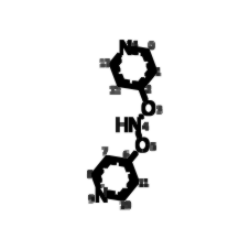 c1cc(ONOc2ccncc2)ccn1